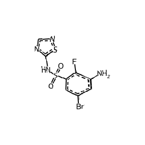 Nc1cc(Br)cc(S(=O)(=O)Nc2ncns2)c1F